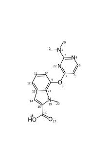 CN(C)c1nccc(Oc2cccc3cc(C(=O)O)n(C)c23)n1